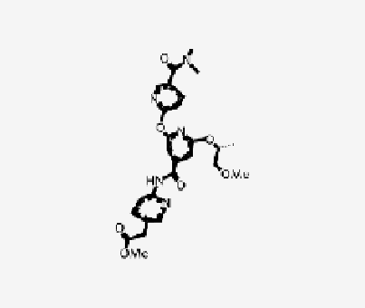 COC[C@@H](C)Oc1cc(C(=O)Nc2ccc(CC(=O)OC)cn2)cc(Oc2ccc(C(=O)N(C)C)cn2)n1